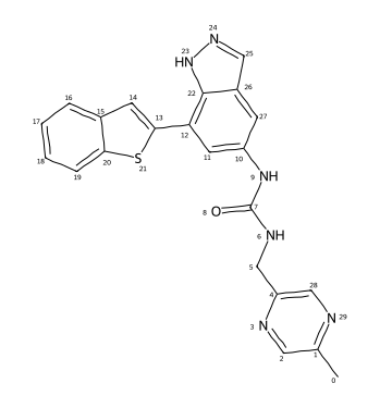 Cc1cnc(CNC(=O)Nc2cc(-c3cc4ccccc4s3)c3[nH]ncc3c2)cn1